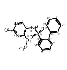 COc1nc(Cl)ncc1NS(=O)(=O)c1ccccc1-c1ccccc1